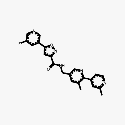 Cc1cc(-c2ncc(CNC(=O)c3cc(-c4cncc(F)c4)on3)cc2C)ccn1